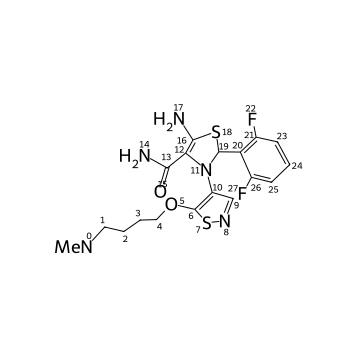 CNCCCCOc1sncc1N1C(C(N)=O)=C(N)SC1c1c(F)cccc1F